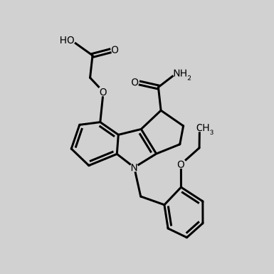 CCOc1ccccc1Cn1c2c(c3c(OCC(=O)O)cccc31)C(C(N)=O)CC2